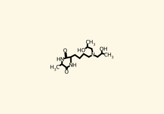 CC(O)CN(CCCCC1NC(=O)C(C)NC1=O)CC(C)O